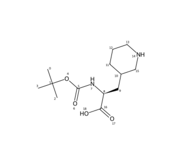 CC(C)(C)OC(=O)N[C@@H](CC1CCCNC1)C(=O)O